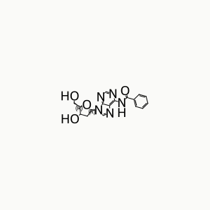 O=C(Nc1ncnc2c1ncn2[C@H]1CC(O)[C@@H](CO)O1)c1ccccc1